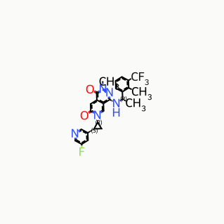 Cc1c([C@@H](C)Nc2nn(C)c(=O)c3cc(=O)n([C@@H]4C[C@H]4c4cncc(F)c4)cc23)cccc1C(F)(F)F